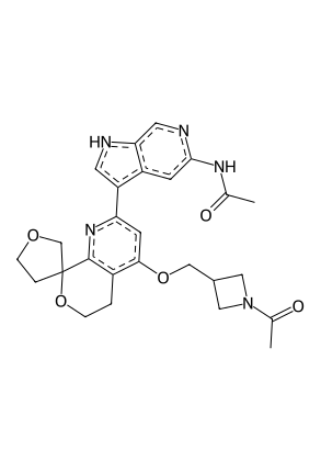 CC(=O)Nc1cc2c(-c3cc(OCC4CN(C(C)=O)C4)c4c(n3)C3(CCOC3)OCC4)c[nH]c2cn1